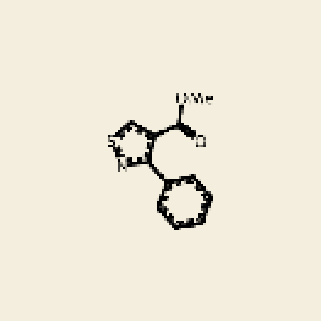 COC(=O)c1csnc1-c1ccccc1